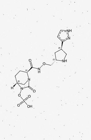 O=C(NOC[C@@H]1C[C@@H](c2cc[nH]n2)CN1)[C@@H]1CC[C@@H]2CN1C(=O)N2OS(=O)(=O)O